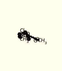 CCOC(=O)CCCCCCCN(Cc1ccccc1)S(=O)(=O)c1ccc(Cl)c(COc2cccc3ccc(C)nc23)c1Cl